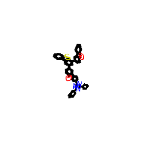 c1ccc(-c2nc(-c3ccccc3)nc(-c3ccc4c(c3)oc3ccc(-c5cc(-c6ccc7oc8ccccc8c7c6)c6sc7ccccc7c6c5)cc34)n2)cc1